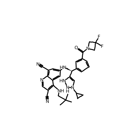 CC(C)(C)CNc1c(C#N)cnc2c(C#N)cc(N[C@H](C3=CN(C4CC4)NN3)c3cccc(C(=O)N4CC(F)(F)C4)c3)cc12